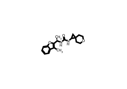 Cc1c([C@@H](C)NC(=O)NC2CC23CCOCC3)oc2ccccc12